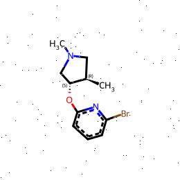 C[C@@H]1CN(C)C[C@H]1Oc1cccc(Br)n1